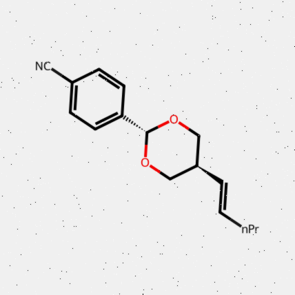 CCCC=C[C@H]1CO[C@H](c2ccc(C#N)cc2)OC1